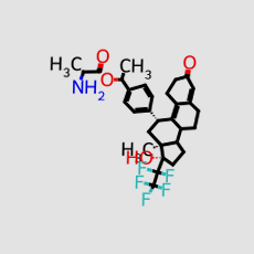 CC(OC(=O)[C@H](C)N)c1ccc([C@H]2C[C@@]3(C)C(CC[C@@]3(O)C(F)(F)C(F)(F)F)C3CCC4=CC(=O)CCC4=C32)cc1